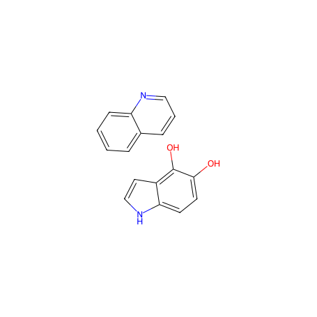 Oc1ccc2[nH]ccc2c1O.c1ccc2ncccc2c1